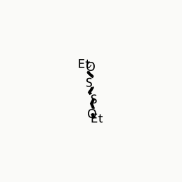 CCOCCSCCSCCOCC